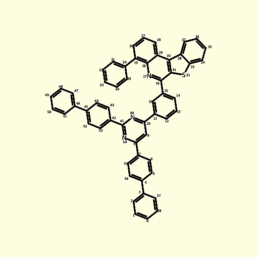 c1ccc(-c2ccc(-c3cc(-c4cccc(-c5nc6c(-c7ccccc7)cccc6c6c5sc5ccccc56)c4)nc(-c4ccc(-c5ccccc5)cc4)n3)cc2)cc1